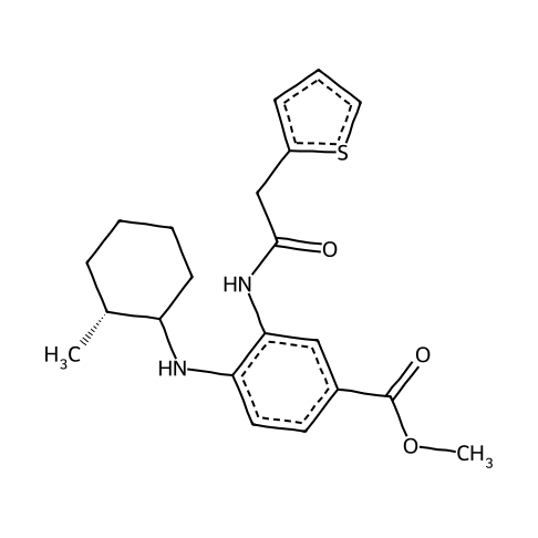 COC(=O)c1ccc(NC2CCCC[C@H]2C)c(NC(=O)Cc2cccs2)c1